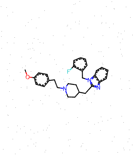 COc1ccc(CCN2CCC(Cc3nc4ccccc4n3Cc3ccccc3F)CC2)cc1